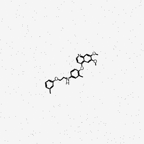 COc1cc2nccc(Oc3ccc(NCCOc4cccc(C)c4)cc3C)c2cc1OC